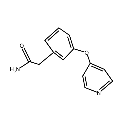 NC(=O)[CH]c1cccc(Oc2ccncc2)c1